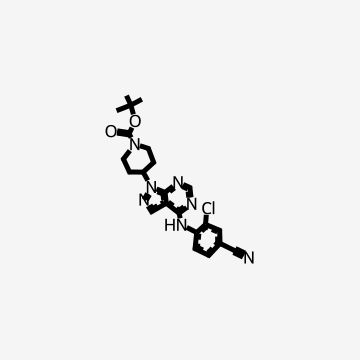 CC(C)(C)OC(=O)N1CCC(n2ncc3c(Nc4ccc(C#N)cc4Cl)ncnc32)CC1